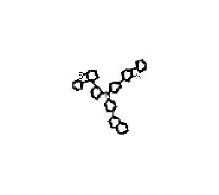 c1cc(-c2cccc3sc4ccccc4c23)cc(N(c2ccc(-c3ccc4ccccc4c3)cc2)c2ccc(-c3ccc4c(c3)sc3ccccc34)cc2)c1